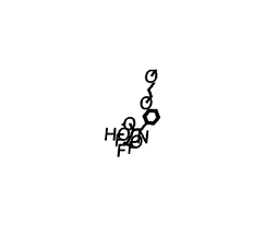 COCCCOc1cccc(C2=NOC(O)(C(F)(F)F)C2OC)c1